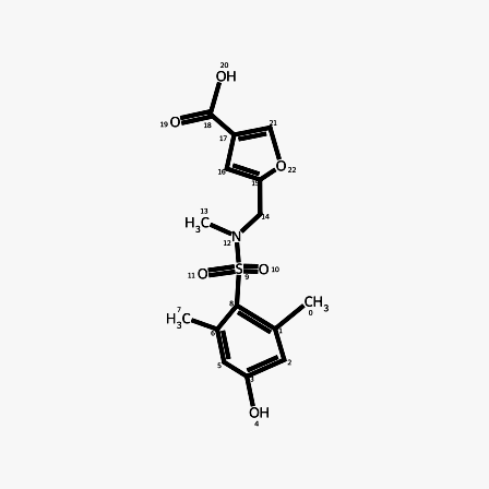 Cc1cc(O)cc(C)c1S(=O)(=O)N(C)Cc1cc(C(=O)O)co1